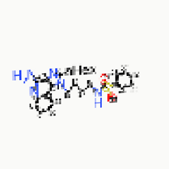 CCCCCCc1nc2c(N)nc3ccccc3c2n1CCCCNS(=O)(=O)c1ccccc1